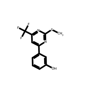 CSc1nc(-c2cccc(O)c2)cc(C(F)(F)F)n1